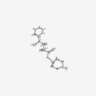 O=C(Cc1ccc(Cl)cc1)NNC(=O)c1ccccn1